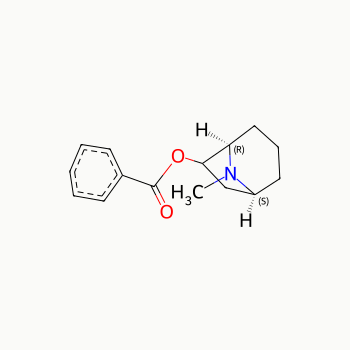 CN1[C@H]2CCC[C@@H]1C(OC(=O)c1ccccc1)C2